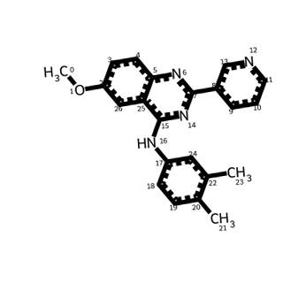 COc1ccc2nc(-c3cccnc3)nc(Nc3ccc(C)c(C)c3)c2c1